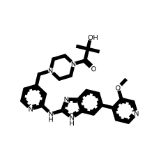 COc1cnccc1-c1ccc2nc(Nc3cc(CN4CCN(C(=O)C(C)(C)O)CC4)ccn3)[nH]c2c1